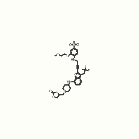 COCCOc1cc(S(C)(=O)=O)ccc1NCC#Cc1sc2c(NC3CCN(CC4COC(=O)O4)CC3)cccc2c1CC(F)(F)F